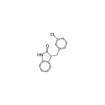 O=C1Nc2ccccc2C1Cc1cccc(Cl)c1